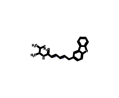 CC(C)C(C)NC(=O)/C=C/C=C/Cc1ccc2oc3ccccc3c2c1